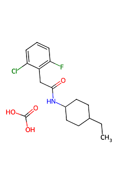 CCC1CCC(NC(=O)Cc2c(F)cccc2Cl)CC1.O=C(O)O